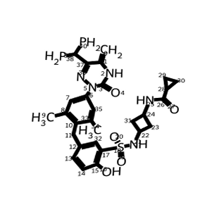 C=C1NC(=O)N(c2cc(C)c(Cc3ccc(O)c(S(=O)(=O)NC4CC(NC(=O)C5CC5)C4)c3)c(C)c2)N=C1C(P)P